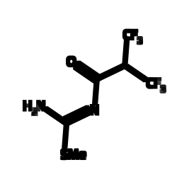 CS/C(N)=N/C(=O)C(C(F)(F)F)C(F)(F)F